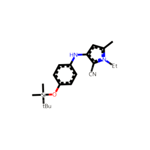 CCn1c(C)cc(Nc2ccc(O[Si](C)(C)C(C)(C)C)cc2)c1C#N